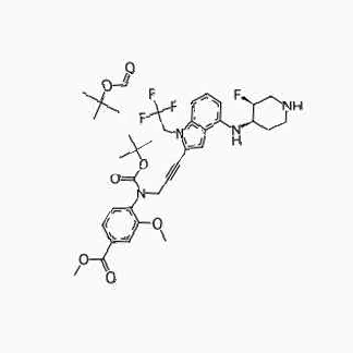 CC(C)(C)OC=O.COC(=O)c1ccc(N(CC#Cc2cc3c(N[C@@H]4CCNC[C@@H]4F)cccc3n2CC(F)(F)F)C(=O)OC(C)(C)C)c(OC)c1